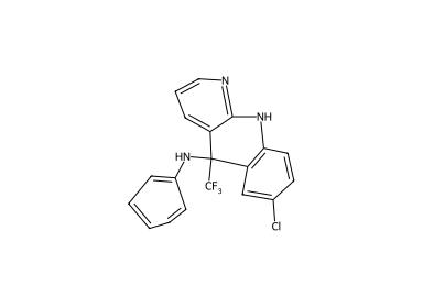 FC(F)(F)C1(Nc2ccccc2)c2cc(Cl)ccc2Nc2ncccc21